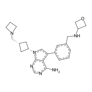 Nc1ncnc2c1c(-c1cccc(CNC3COC3)c1)cn2[C@H]1C[C@@H](CN2CCC2)C1